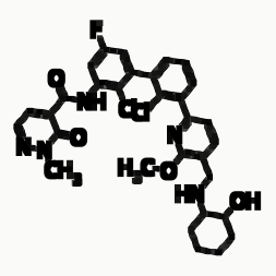 COc1nc(-c2cccc(-c3cc(F)cc(NC(=O)c4ccnn(C)c4=O)c3Cl)c2Cl)ccc1CNC1CCCCC1O